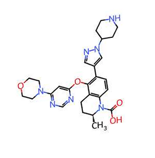 C[C@H]1CCc2c(ccc(-c3cnn(C4CCNCC4)c3)c2Oc2cc(N3CCOCC3)ncn2)N1C(=O)O